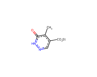 CCOC(=O)c1cn[nH]c(=O)c1C